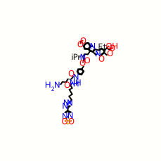 CC[C@@]1(O)C(=O)OCc2c1cc1n(c2=O)Cc2c-1nc1cc3c(cc1c2CCN(C(=O)OCc1ccc(NC(=O)[C@H](CCCCN)NC(=O)CCCCCn2cc(-c4cnc(S(C)(=O)=O)nc4)nn2)cc1)C(C)C)OCO3